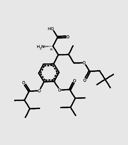 CC(C)C(C)C(=O)Oc1ccc(C(C(C)COC(=O)CC(C)(C)C)[C@H](N)C(=O)O)cc1OC(=O)C(C)C(C)C